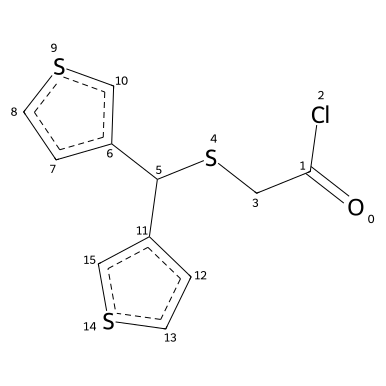 O=C(Cl)CSC(c1ccsc1)c1ccsc1